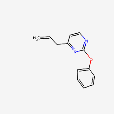 C=CCc1ccnc(Oc2ccccc2)n1